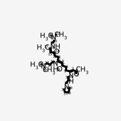 CC(=O)/C=C(/CCC(=O)/C=C(/CCC(=O)/C=C(/C)NCCN(C)C)NCCCN(C)C)NCCCN1CCCC1